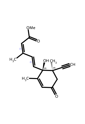 C#C[C@@]1(C)CC(=O)C=C(C)[C@]1(O)/C=C/C(C)=C\C(=O)OC